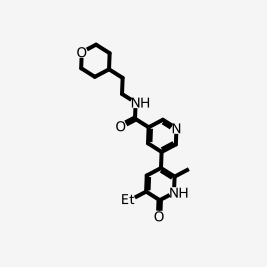 CCc1cc(-c2cncc(C(=O)NCCC3CCOCC3)c2)c(C)[nH]c1=O